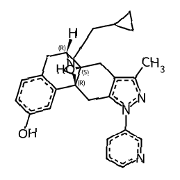 Cc1nn(-c2cccnc2)c2c1C[C@@]1(O)[C@H]3Cc4ccc(O)cc4[C@@]1(CCN3CC1CC1)C2